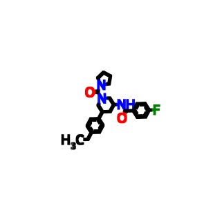 CCc1ccc(C2CC(NC(=O)c3ccc(F)cc3)CN(C(=O)N3CCCC3)C2)cc1